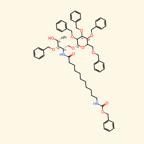 CCC[C@@H](O)[C@@H](OCc1ccccc1)[C@H](CO[C@H]1OC(COCc2ccccc2)[C@H](OCc2ccccc2)[C@H](OCc2ccccc2)C1OCc1ccccc1)NC(=O)CCCCCCCCCCNC(=O)OCc1ccccc1